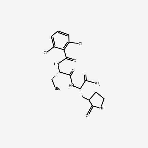 CC(C)(C)C[C@H](NC(=O)c1c(Cl)cccc1Cl)C(=O)N[C@@H](CC1CCNC1=O)C(N)=O